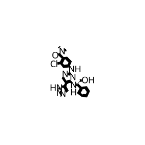 CN(C)C(=O)c1ccc(Nc2ncc(-c3cnn[nH]3)c(N[C@H](CO)c3ccccc3)n2)cc1Cl